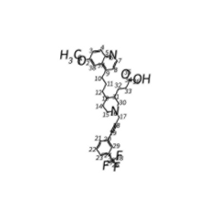 COc1ccc2nccc(CCCC3CCN(CC#Cc4cccc(C(F)(F)F)c4)CC3CCC(=O)O)c2c1